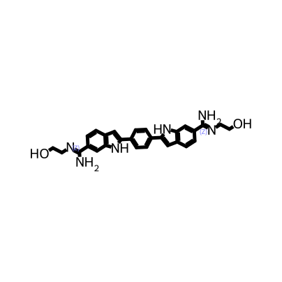 N/C(=N\CCO)c1ccc2cc(-c3ccc(-c4cc5ccc(/C(N)=N/CCO)cc5[nH]4)cc3)[nH]c2c1